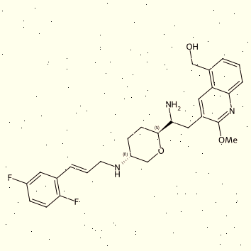 COc1nc2cccc(CO)c2cc1CC(N)[C@@H]1CC[C@@H](NCC=Cc2cc(F)ccc2F)CO1